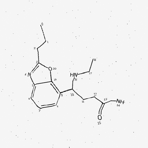 CCCc1nc2cccc(C(CCC([NH])=O)NCC)c2o1